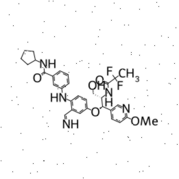 COc1ccc([C@@H](Oc2ccc(Nc3cccc(C(=O)NC4CCCC4)c3)c(C=N)c2)[C@H](CO)NC(=O)C(C)(F)F)cn1